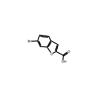 O=C(O)c1cc2ccc(Br)cc2o1